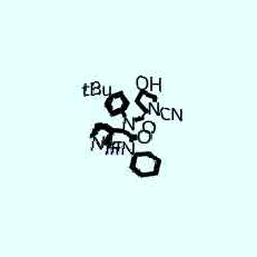 CC(C)(C)c1ccc(N(C(=O)[C@H]2C[C@@H](O)CN2C#N)C(C(=O)NC2CCCCC2)c2cccnc2F)cc1